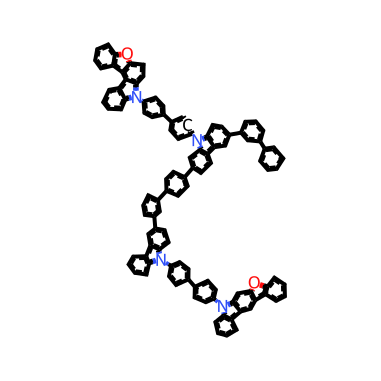 c1ccc(-c2cccc(-c3ccc4c(c3)c3ccc(-c5ccc(-c6cccc(-c7ccc8c(c7)c7ccccc7n8-c7ccc(-c8ccc(-n9c%10ccccc%10c%10cc%11c(cc%109)oc9ccccc9%11)cc8)cc7)c6)cc5)cc3n4-c3ccc(-c4ccc(-n5c6ccccc6c6c7c(ccc65)oc5ccccc57)cc4)cc3)c2)cc1